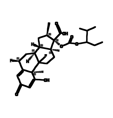 CCC(OC(=O)O[C@@]1(C(=O)O)[C@H](C)C[C@H]2[C@@H]3C[C@H](F)C4=CC(=O)C=C(O)[C@]4(C)C3(F)CC[C@@]21C)C(C)C